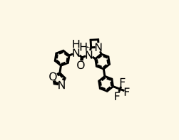 O=C(Nc1cccc(-c2cnco2)c1)N1c2cc(-c3cccc(C(F)(F)F)c3)ccc2N2CC[C@@H]21